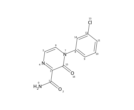 NC(=O)c1nccn(-c2cccc(Cl)c2)c1=O